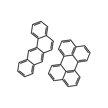 c1cc2cccc3c4cccc5cccc(c(c1)c23)c54.c1ccc2cc3c(ccc4ccccc43)cc2c1